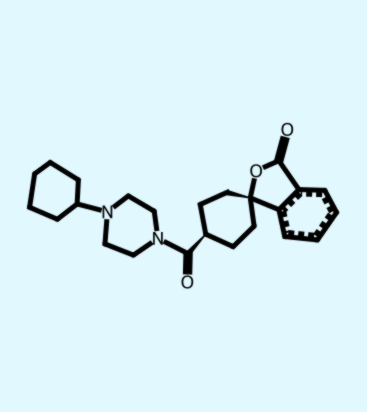 O=C1O[C@]2(CC[C@H](C(=O)N3CCN(C4CCCCC4)CC3)CC2)c2ccccc21